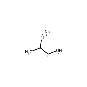 CC(Cl)CO.[Na]